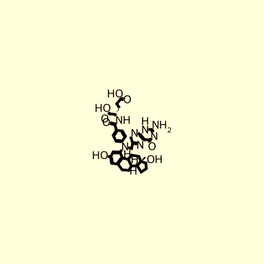 C[C@]12CC[C@@H]3c4c(cc(O)cc4N(Cc4cnc5[nH]c(N)nc(=O)c5n4)c4ccc(C(=O)N[C@@H](CCC(=O)O)C(=O)O)cc4)CC[C@H]3[C@@H]1CC[C@H]2O